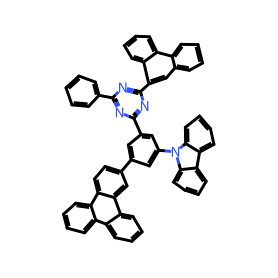 c1ccc(-c2nc(-c3cc(-c4ccc5c6ccccc6c6ccccc6c5c4)cc(-n4c5ccccc5c5ccccc54)c3)nc(-c3cc4ccccc4c4ccccc34)n2)cc1